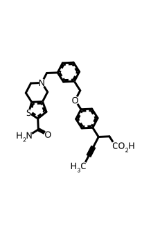 CC#CC(CC(=O)O)c1ccc(OCc2cccc(CN3CCc4sc(C(N)=O)cc4C3)c2)cc1